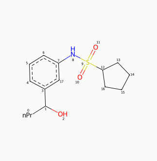 CCCC(O)c1cccc(NS(=O)(=O)C2CCCC2)c1